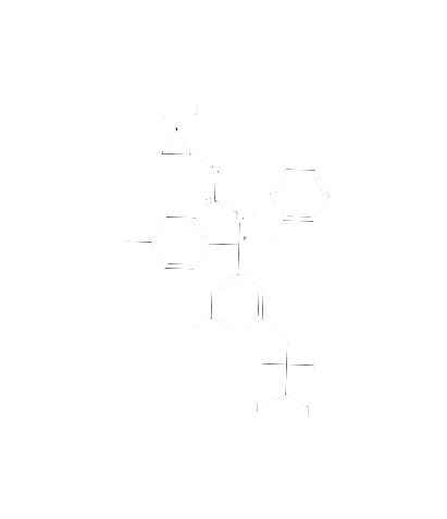 O=C(NC1CC1(F)F)N[C@](Cc1ccccc1)(c1ccc(F)cc1)c1cc(F)cc(OC(F)(F)C(F)F)c1